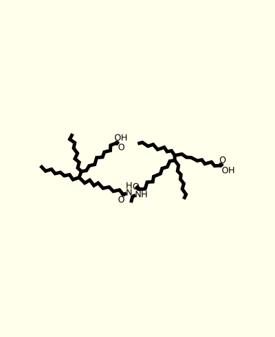 CCCCCCCCC(CCCCCCCCC(=O)O)C(CCCCCCCC)CCCCCCCCC(=O)NC(C)NC(=O)CCCCCCCCC(CCCCCCCC)C(CCCCCCCC)CCCCCCCCC(=O)O